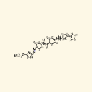 CCOC(=O)c1cnc(/N=N/c2ccc(NNc3ccc(NNc4ccc(N5CCCC5)s4)cc3C)cc2C)s1